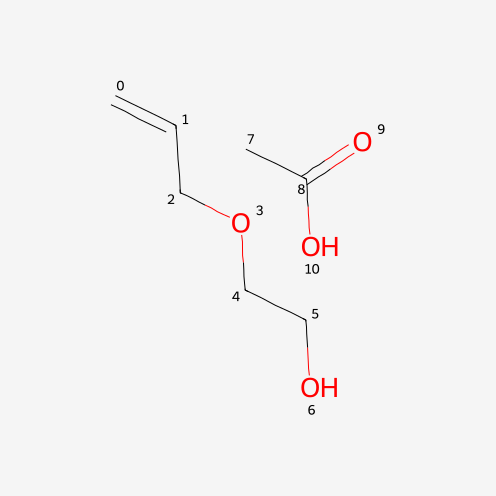 C=CCOCCO.CC(=O)O